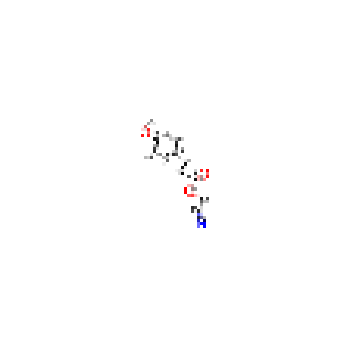 COc1ccc(C=CC(=O)OCC#N)cc1